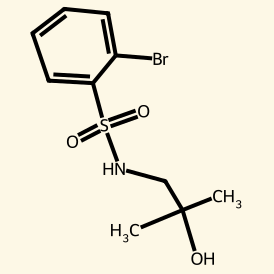 CC(C)(O)CNS(=O)(=O)c1ccccc1Br